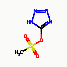 CS(=O)(=O)Oc1nnn[nH]1